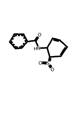 O=C(NC1C=CC=CC1=S(=O)=O)c1ccccc1